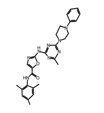 Cc1cc(C)c(NC(=O)c2cnc(Nc3nc(C)nc(N4CCN(c5ccccc5)CC4)n3)o2)c(C)c1